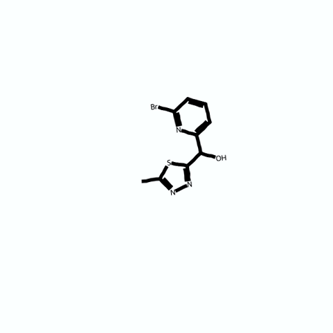 Cc1nnc(C(O)c2cccc(Br)n2)s1